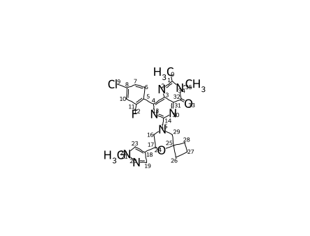 Cc1nc2c(-c3ccc(Cl)cc3F)nc(N3CC(c4cnn(C)c4)OC4(CCC4)C3)nc2c(=O)n1C